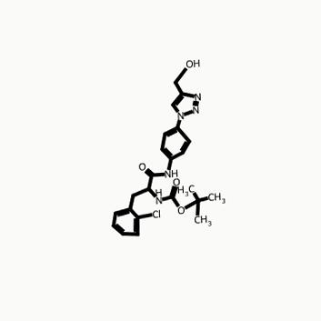 CC(C)(C)OC(=O)NC(Cc1ccccc1Cl)C(=O)Nc1ccc(-n2cc(CO)nn2)cc1